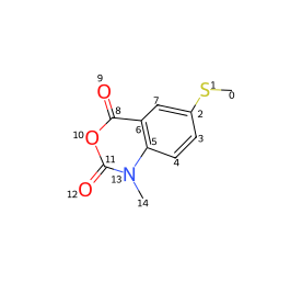 CSc1ccc2c(c1)c(=O)oc(=O)n2C